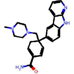 CN1CCN(CC2(c3ccc4[nH]c5ncccc5c4c3)C=CC(C(N)=O)=CC2)CC1